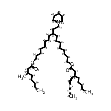 C=C=C=C=CC(CCCCC)CC(=O)OCCCCCCCCC(CCCCCCCCOC(=O)CC(C)CCCCC)CCN1CCCCC1